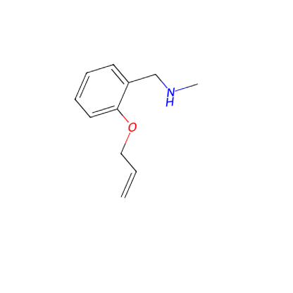 C=CCOc1ccccc1CNC